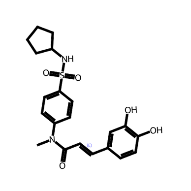 CN(C(=O)/C=C/c1ccc(O)c(O)c1)c1ccc(S(=O)(=O)NC2CCCC2)cc1